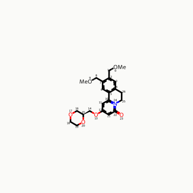 COCc1cc2c(cc1COC)-c1cc(OC[C@@H]3COCCO3)cc(=O)n1CC2